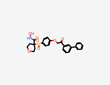 O=C(COc1ccc(S(=O)(=O)C2(C(=O)NO)CCOCC2)cc1)c1cccc(-c2ccccc2)c1